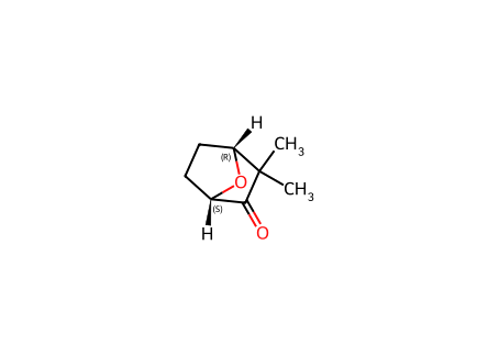 CC1(C)C(=O)[C@@H]2CC[C@H]1O2